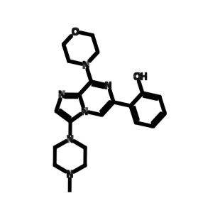 CN1CCN(c2cnc3c(N4CCOCC4)nc(-c4ccccc4O)cn23)CC1